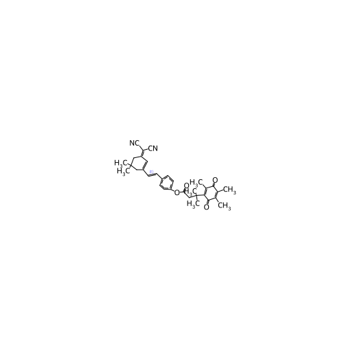 CC1=C(C)C(=O)C(C(C)(C)CC(=O)Oc2ccc(/C=C/C3=CC(=C(C#N)C#N)CC(C)(C)C3)cc2)=C(C)C1=O